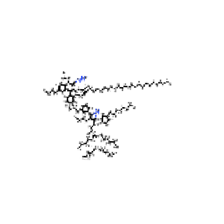 CCCCCCCCCCCCCCCCCCCCCCCCC#CCCc1ccccc1C(=C(CCCC)C(=C=[N+]=[N-])CCCC)c1cccc(CCCC)c1.CCCCCCCCc1cccc(C2=C(CCCC)C(CCCC)=C(c3cccc(CCCC)c3)[N+]2=[N-])c1.CCCCC[CH2][Pd][CH2]CCCCC.CCCC[CH2][Ni][CH2]CCCC